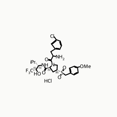 COc1ccc(CS(=O)(=O)[C@@H]2C[C@@H](C(=O)N[C@@H](C(C)C)[C@H](O)C(F)(F)F)N(C(=O)C(N)Cc3cccc(Cl)c3)C2)cc1.Cl